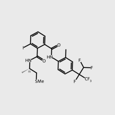 CSC[C@H](C)NC(=O)c1c(I)cccc1C(=O)Nc1ccc(C(F)(C(F)F)C(F)(F)F)cc1C